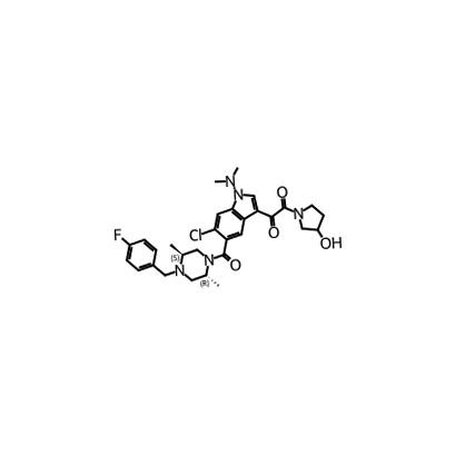 C[C@@H]1CN(Cc2ccc(F)cc2)[C@@H](C)CN1C(=O)c1cc2c(C(=O)C(=O)N3CCC(O)C3)cn(N(C)C)c2cc1Cl